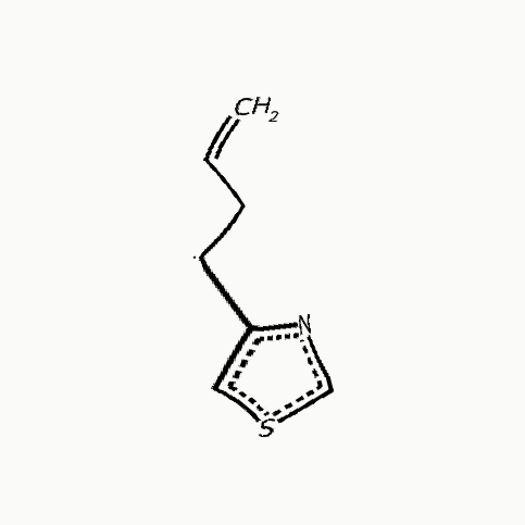 C=CC[CH]c1cscn1